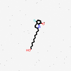 COc1ccc(F)c2ccc(CCCCCCCCCCCO)nc12